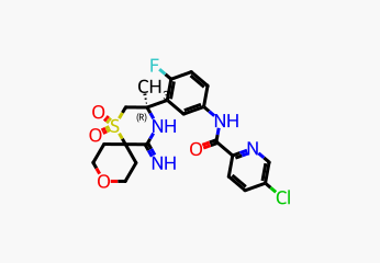 C[C@@]1(c2cc(NC(=O)c3ccc(Cl)cn3)ccc2F)CS(=O)(=O)C2(CCOCC2)C(=N)N1